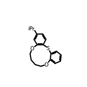 CC(C)c1ccc2c(c1)OCCCCOc1ccccc1S2